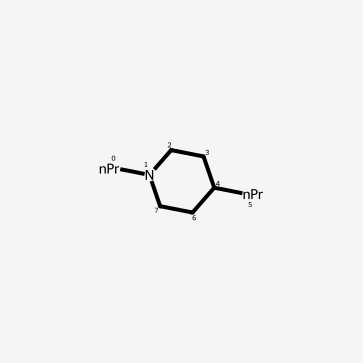 [CH2]CCN1CCC(CCC)CC1